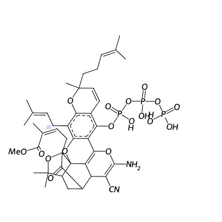 COC(=O)/C(C)=C\CC12OC(C)(C)C3CC(C1=O)C1C(C#N)=C(N)OC4=C1C32Oc1c(CC=C(C)C)c2c(c(OP(=O)(O)OP(=O)(O)OP(=O)(O)O)c14)C=CC(C)(CCC=C(C)C)O2